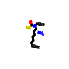 CCCCCCCCCCCCCCCCN(CCCCCCCC)C(=O)S.N